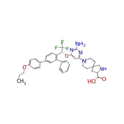 CCCOc1ccc(-c2ccc([C@@H](Oc3cc(N4CCC5(CC4)CNC(C(=O)O)C5)nc(N)n3)C(F)(F)F)c(-c3ccccc3)c2)cc1